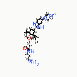 CN1CCN(c2ccc3nc(-c4cc(C(C)(C)C)c(OCCCC(=O)NCCCN)c(C(C)(C)C)c4)[nH]c3c2)CC1